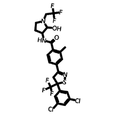 Cc1cc(C2=NSC(c3cc(Cl)cc(Cl)c3)(C(F)(F)F)C2)ccc1C(=O)NC1CCN(CC(F)(F)F)C1O